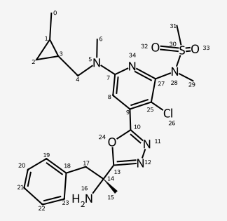 CC1CC1CN(C)c1cc(-c2nnc([C@](C)(N)Cc3ccccc3)o2)c(Cl)c(N(C)S(C)(=O)=O)n1